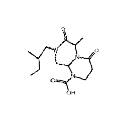 CCC(C)CN1CC2N(C(=O)O)CCC(=O)N2C(C)C1=O